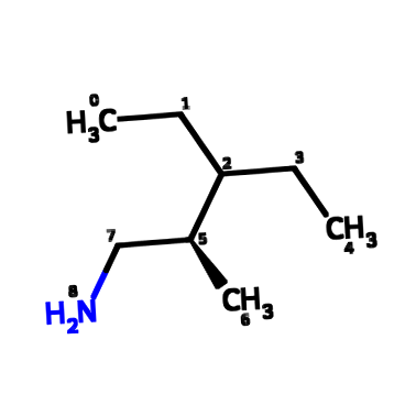 CCC(CC)[C@@H](C)CN